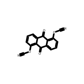 N#COc1cccc2c1C(=O)c1cccc(OC#N)c1C2=O